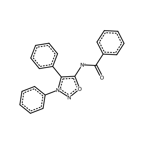 O=C([N-]c1on[n+](-c2ccccc2)c1-c1ccccc1)c1ccccc1